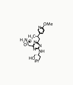 COc1ccc([C@H](C)Cc2nc(CS(N)(=O)=O)nc(N[C@@H](CO)CC(C)C)n2)cn1